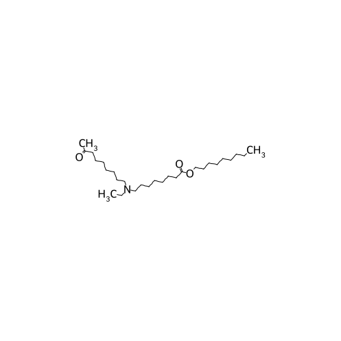 CCCCCCCCCOC(=O)CCCCCCCN(CC)CCCCCCCC(C)=O